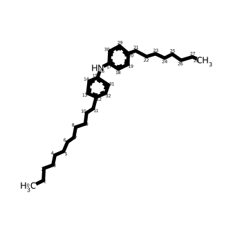 CCCCCCCCCCCCc1ccc(Nc2ccc(CCCCCCCC)cc2)cc1